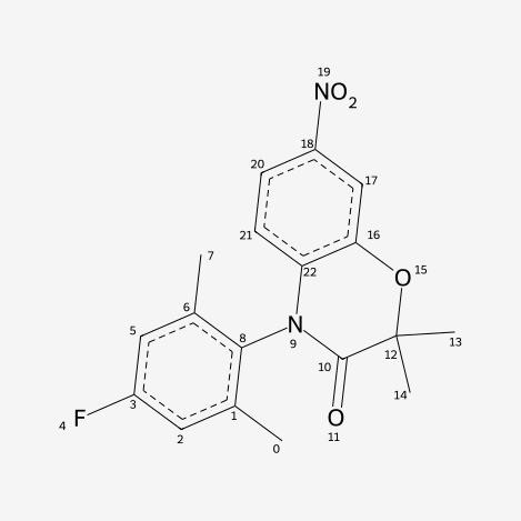 Cc1cc(F)cc(C)c1N1C(=O)C(C)(C)Oc2cc([N+](=O)[O-])ccc21